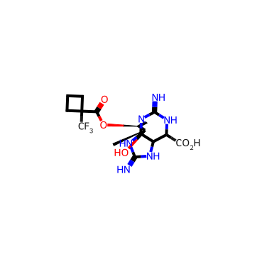 C[C@]1(O)[C@@H](OC(=O)C2(C(F)(F)F)CCC2)CN2C(=N)NC(C(=O)O)C3NC(=N)NC321